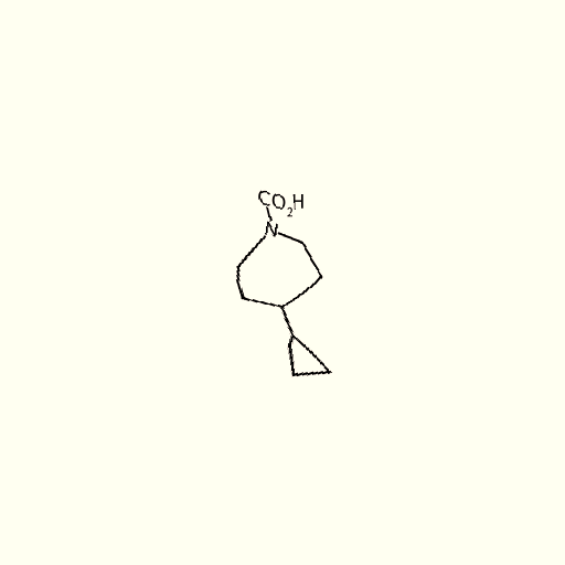 O=C(O)N1CCC(C2CC2)CC1